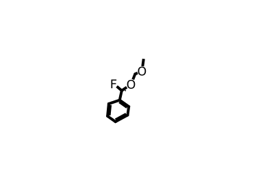 COCO[C](F)c1ccccc1